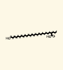 CCCC(CCCCCCCCCCCCCCCCCCCCCCCO)C(=O)O